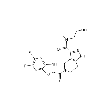 CN(CCO)C(=O)c1n[nH]c2c1CN(C(=O)c1cc3cc(F)c(F)cc3[nH]1)CC2